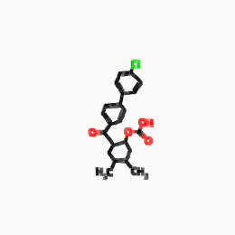 CC1=C(C)CC(C(=O)c2ccc(-c3ccc(Cl)cc3)cc2)C(OC(=O)O)C1